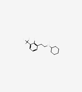 Fc1c(CCNC2CCCCC2)cccc1C(F)(F)F